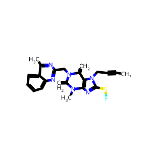 C=C1c2c(nc(SF)n2CC#CC)N(C)C(=C)N1Cc1nc(C)c2ccccc2n1